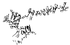 CCCCc1nc2c(N)nnc(N3CCN(C(=O)[C@H](CCCNC(N)=O)NC(=O)[C@@H](NC(=O)CCCC(=O)NCCOCCOCCOCCNC(=O)CCN4C(=O)C=CC4=O)C(C)C)CC3)c2n1C